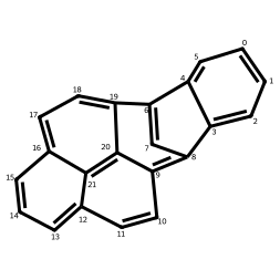 c1ccc2c(c1)-c1cc-2c2ccc3cccc4ccc1c2c43